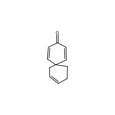 O=C1C=CC2(C=C1)CC=CCC2